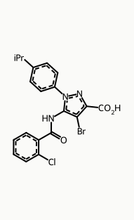 CC(C)c1ccc(-n2nc(C(=O)O)c(Br)c2NC(=O)c2ccccc2Cl)cc1